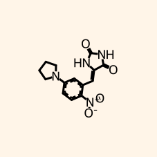 O=C1NC(=O)C(=Cc2cc(N3CCCC3)ccc2[N+](=O)[O-])N1